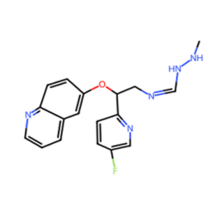 CNN/C=N\CC(Oc1ccc2ncccc2c1)c1ccc(F)cn1